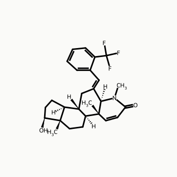 CN1C(=O)C=C[C@]2(C)[C@H]3CC[C@]4(C)[C@@H](O)CC[C@H]4[C@@H]3CC(=Cc3ccccc3C(F)(F)F)[C@@H]12